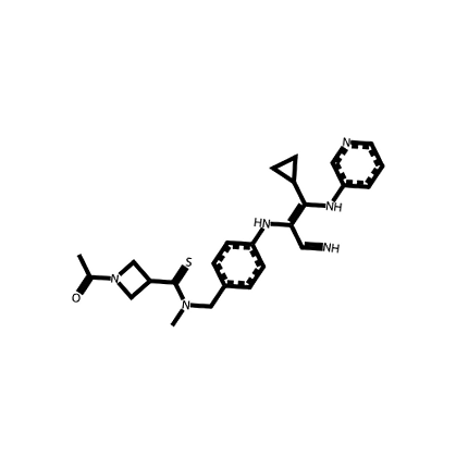 CC(=O)N1CC(C(=S)N(C)Cc2ccc(N/C(C=N)=C(/Nc3cccnc3)C3CC3)cc2)C1